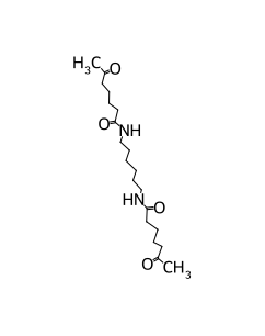 CC(=O)CCCCC(=O)NCCCCCCNC(=O)CCCCC(C)=O